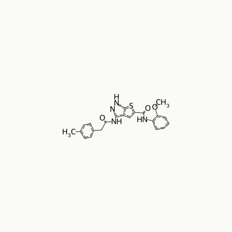 COc1ccccc1NC(=O)c1cc2c(NC(=O)Cc3ccc(C)cc3)n[nH]c2s1